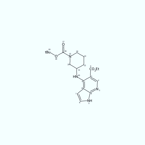 CCOC(=O)c1cnc2[nH]ccc2c1NC1CCCN(C(=O)OC(C)(C)C)C1